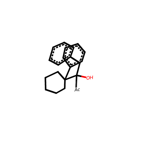 CC(=O)C(O)(Cc1ccccc1)C1(c2ccccc2)CCCCC1